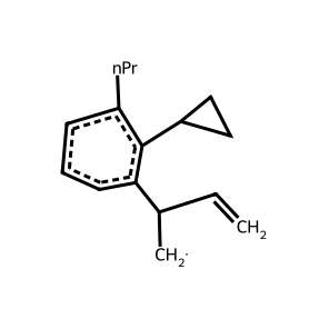 [CH2]C(C=C)c1cccc(CCC)c1C1CC1